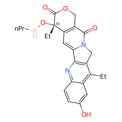 CCCBO[C@]1(CC)C(=O)OCc2c1cc1n(c2=O)Cc2c-1nc1ccc(O)cc1c2CC